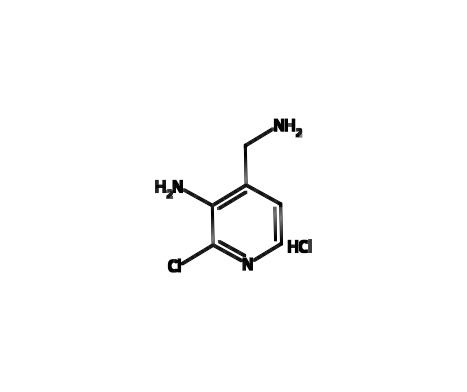 Cl.NCc1ccnc(Cl)c1N